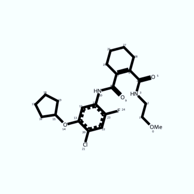 COCCNC(=O)C1=C(C(=O)Nc2cc(OC3CCCC3)c(Cl)cc2F)CCCC1